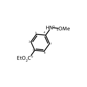 CCOC(=O)c1ccc(NOC)cc1